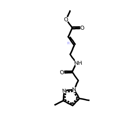 COC(=O)/C=C/CNC(=O)Cn1nc(C)cc1C